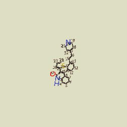 O=c1[nH]c2ccccc2c(-c2cccc(C=Cc3ccncc3)c2)c1-c1cccs1